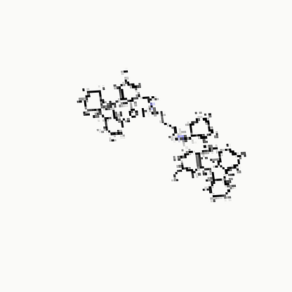 Cc1cc(/P=N/CCC/N=[PH](\c2ccccc2)c2cc(C)cc(-n3c4ccccc4c4ccccc43)c2O)c(O)c(-n2c3ccccc3c3ccccc32)c1